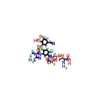 CP(=O)(O)CCC(N)C(=O)O.Cc1nn(-c2cc(NS(C)(=O)=O)c(Cl)cc2Cl)c(=O)n1C(F)F.N#Cc1cc(Br)c(O)c(Br)c1